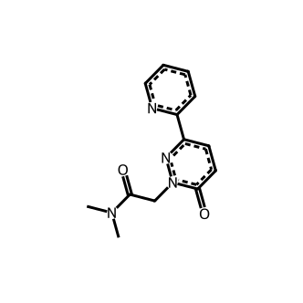 CN(C)C(=O)Cn1nc(-c2ccccn2)ccc1=O